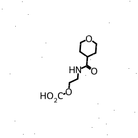 O=C(O)OCCNC(=O)C1CCOCC1